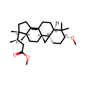 COC(=O)C[C@@H](C)[C@]1(C)CCC2=C3CC[C@H]4C(C)(C)[C@H](OC)CC[C@@]45C[C@@]35CC[C@@]21C